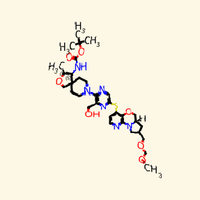 COCOCC1C[C@H]2COc3c(Sc4cnc(N5CCC6(CC5)CO[C@@H](C)[C@H]6NC(=O)OC(C)(C)C)c(CO)n4)ccnc3N2C1